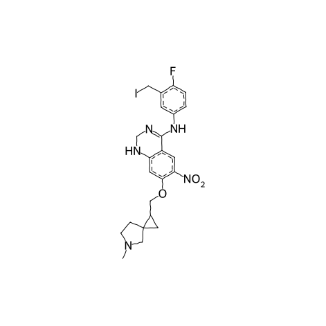 CN1CCC2(CC2COc2cc3c(cc2[N+](=O)[O-])C(Nc2ccc(F)c(CI)c2)=NCN3)C1